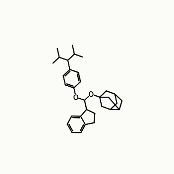 CC(C)C(c1ccc(OC(OC23CC4CC(C2)C(C4)C3)C2CCc3ccccc32)cc1)C(C)C